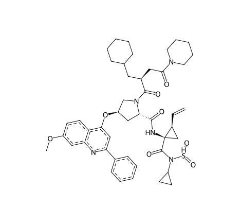 C=C[C@H]1C[C@]1(NC(=O)[C@@H]1C[C@@H](Oc2cc(-c3ccccc3)nc3cc(OC)ccc23)CN1C(=O)[C@H](CC(=O)N1CCCCC1)CC1CCCCC1)C(=O)N(C1CC1)[SH](=O)=O